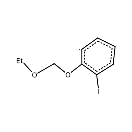 CCOCOc1[c]cccc1I